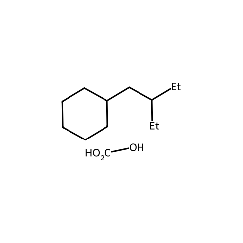 CCC(CC)CC1CCCCC1.O=C(O)O